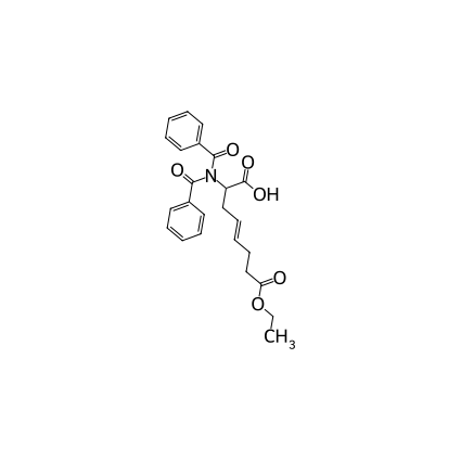 CCOC(=O)CCC=CCC(C(=O)O)N(C(=O)c1ccccc1)C(=O)c1ccccc1